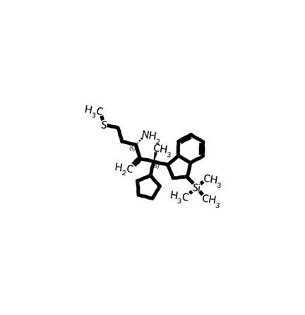 C=C([C@@H](N)CCSC)[C@@](C)(C1CCCC1)C1CC([Si](C)(C)C)C2C=CC=CC21